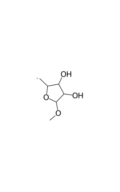 [CH2]C1OC(OC)C(O)C1O